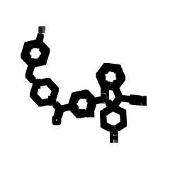 N#CC(c1ccccc1)C1(Nc2ccc(C(=O)N3CCN(Cc4ccc(F)cc4)CC3)cn2)CCNCC1